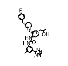 Cc1cc(NC(=O)N[C@@H]2CCN(CC(C)O)C[C@@H]2CN2CCC[C@@H](Cc3ccc(F)cc3)C2)cc(-c2nnnn2C)c1